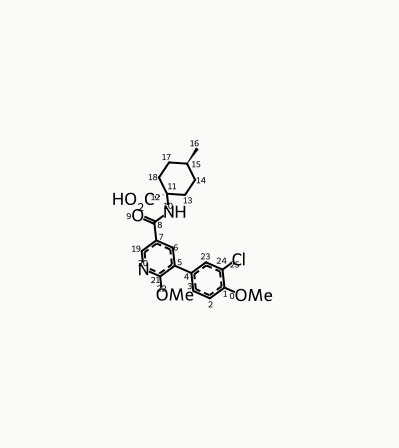 COc1ccc(-c2cc(C(=O)N[C@]3(C(=O)O)CC[C@H](C)CC3)cnc2OC)cc1Cl